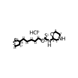 Cl.S=C(NC1CNCCO1)OCCCCCC1CCSS1